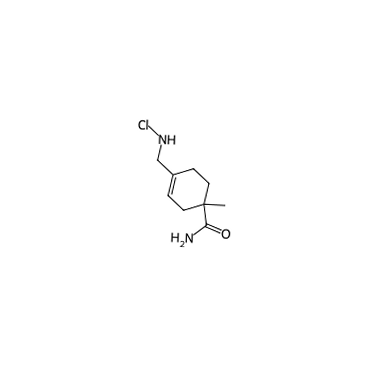 CC1(C(N)=O)CC=C(CNCl)CC1